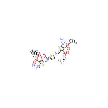 CCOC(=O)c1c(N)sc(/C=N/c2ccc(/N=C/c3sc(N)c(C(=O)OCC)c3C(=O)OCC)s2)c1C(=O)OCC